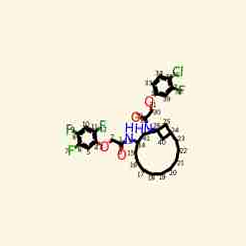 O=C(COc1cc(F)c(F)cc1F)NC1CCCCCCCCCC2CC(NC(=O)COc3ccc(Cl)c(F)c3)(C2)C1